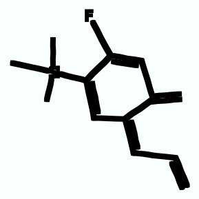 C=C/C=c1/cc([Si](C)(C)C)c(F)cc1=C